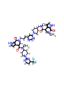 CN(CC1CCN(c2cc(/C=C/Cn3cc(C(=O)N(C)C4CCN(c5nccc(C(F)(F)F)n5)CC4)c4cc[nH]c4c3=O)ncn2)CC1)C(=O)c1cn(C)c(=O)c2[nH]ccc12